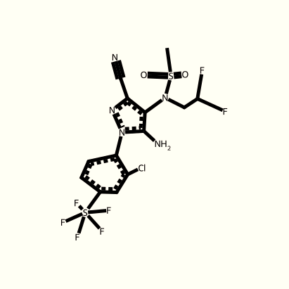 CS(=O)(=O)N(CC(F)F)c1c(C#N)nn(-c2ccc(S(F)(F)(F)(F)F)cc2Cl)c1N